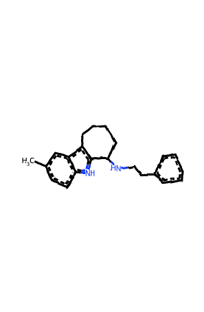 Cc1ccc2[nH]c3c(c2c1)CCCCC3NCCc1ccccc1